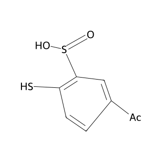 CC(=O)c1ccc(S)c(S(=O)O)c1